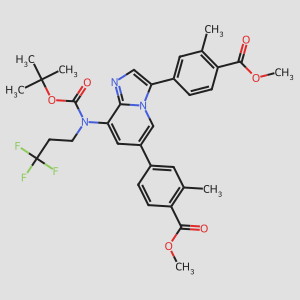 COC(=O)c1ccc(-c2cc(N(CCC(F)(F)F)C(=O)OC(C)(C)C)c3ncc(-c4ccc(C(=O)OC)c(C)c4)n3c2)cc1C